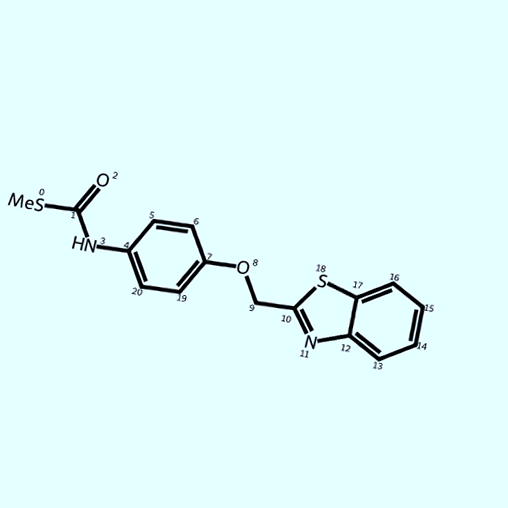 CSC(=O)Nc1ccc(OCc2nc3ccccc3s2)cc1